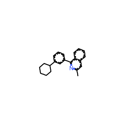 Cc1cc2ccccc2c(-c2cccc(C3CCCCC3)c2)n1